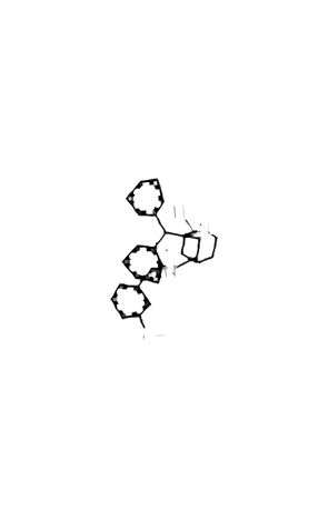 Cc1cccc(CN[C@@H]2C3CCN(CC3)[C@H]2C(c2ccccc2)c2ccccc2)c1